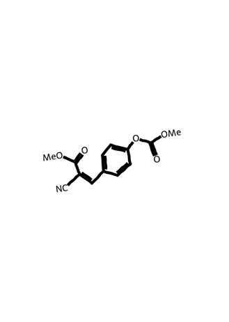 COC(=O)Oc1ccc(C=C(C#N)C(=O)OC)cc1